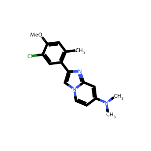 COc1cc(C)c(-c2cn3ccc(N(C)C)cc3n2)cc1Cl